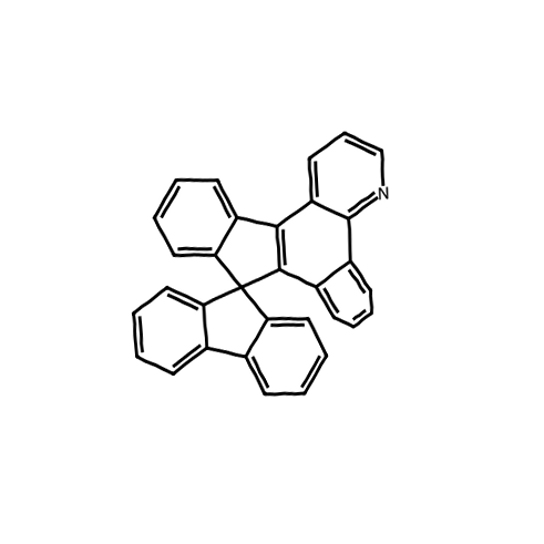 c1ccc2c(c1)-c1ccccc1C21c2ccccc2-c2c1c1ccccc1c1ncccc21